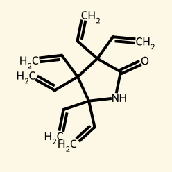 C=CC1(C=C)NC(=O)C(C=C)(C=C)C1(C=C)C=C